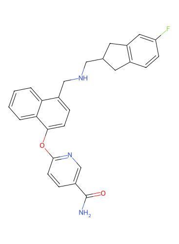 NC(=O)c1ccc(Oc2ccc(CNCC3Cc4ccc(F)cc4C3)c3ccccc23)nc1